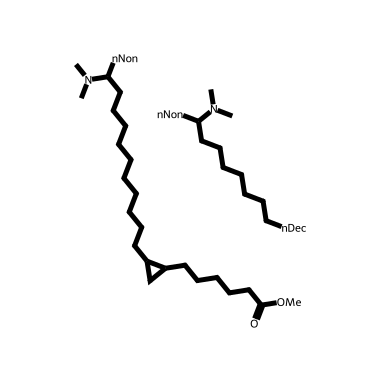 CCCCCCCCCC(CCCCCCCCCCC1CC1CCCCCC(=O)OC)N(C)C.CCCCCCCCCCCCCCCCCC(CCCCCCCCC)N(C)C